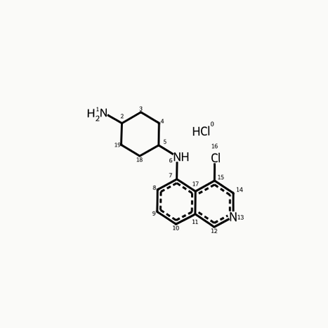 Cl.NC1CCC(Nc2cccc3cncc(Cl)c23)CC1